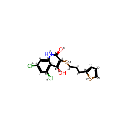 O=c1[nH]c2cc(Cl)cc(Cl)c2c(O)c1SCCCc1cccs1